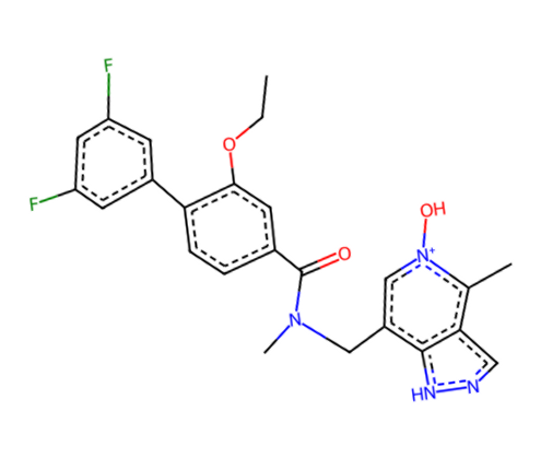 CCOc1cc(C(=O)N(C)Cc2c[n+](O)c(C)c3cn[nH]c23)ccc1-c1cc(F)cc(F)c1